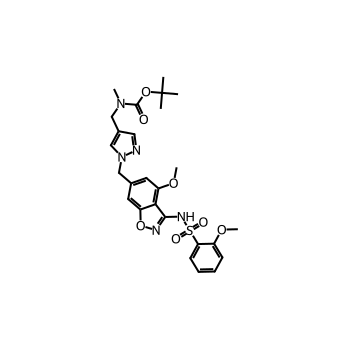 COc1ccccc1S(=O)(=O)Nc1noc2cc(Cn3cc(CN(C)C(=O)OC(C)(C)C)cn3)cc(OC)c12